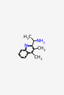 Cc1c(C(C)N)nc2ccccc2c1C